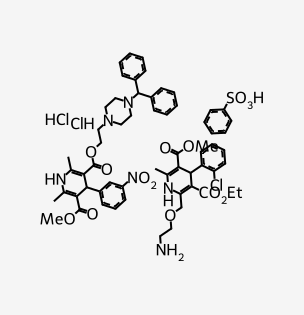 CCOC(=O)C1=C(COCCN)NC(C)=C(C(=O)OC)C1c1ccccc1Cl.COC(=O)C1=C(C)NC(C)=C(C(=O)OCCN2CCN(C(c3ccccc3)c3ccccc3)CC2)C1c1cccc([N+](=O)[O-])c1.Cl.Cl.O=S(=O)(O)c1ccccc1